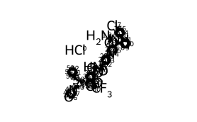 Cl.NCC(=O)NC(c1ccccc1-c1ccc(Cl)cc1)C1CCN(c2ccc(C(=O)NS(=O)(=O)c3ccc(N[C@H](CCN4CCOCC4)CSc4ccccc4)c(S(=O)(=O)C(F)(F)F)c3)cc2)CC1